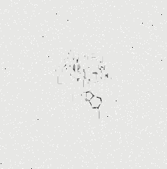 CC[C@H](NC(=O)[C@H](C)N(C)C(=O)OC(C)(C)C)C(=O)N1CC[C@@H]2[C@H]1[C@H](c1c[nH]c3cc(F)ccc13)CN2S(C)(=O)=O